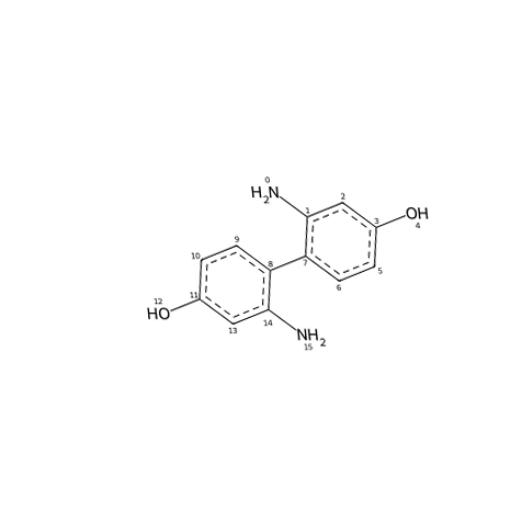 Nc1cc(O)ccc1-c1ccc(O)cc1N